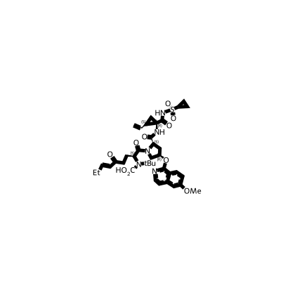 C=C[C@@H]1C[C@]1(NC(=O)[C@@H]1C[C@@H](Oc2nccc3cc(OC)ccc23)CN1C(=O)[C@H](CCC(=O)C=CCC)N(C(=O)O)C(C)(C)C)C(=O)NS(=O)(=O)C1CC1